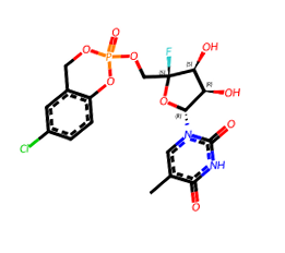 Cc1cn([C@@H]2O[C@](F)(COP3(=O)OCc4cc(Cl)ccc4O3)[C@@H](O)[C@H]2O)c(=O)[nH]c1=O